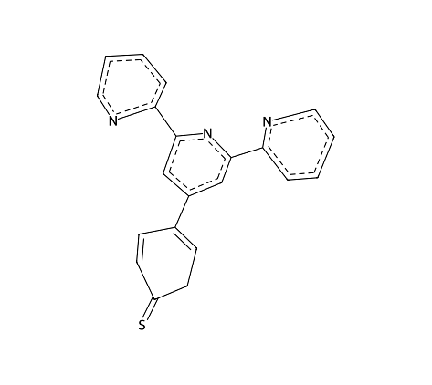 S=C1C=CC(c2cc(-c3ccccn3)nc(-c3ccccn3)c2)=CC1